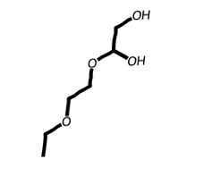 CCOCCOC(O)CO